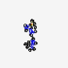 c1ccc([Si](c2ccccc2)(c2ccccc2)c2cc(-n3c4ccccc4c4ccccc43)nc(-n3c4ccccc4n4c5ccc(-c6ccc7nc8n(-c9cc([Si](c%10ccccc%10)(c%10ccccc%10)c%10cccc%11c%10sc%10ccccc%10%11)cc(-n%10c%11ccccc%11n%11c%12ccccc%12nc%10%11)n9)c9ccccc9n8c7c6)cc5nc34)c2)cc1